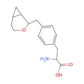 NC(Cc1ccc(CC2OCCC3CC32)cc1)C(=O)O